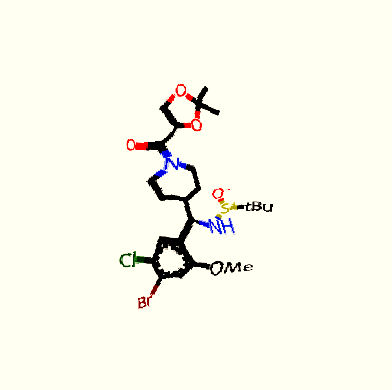 COc1cc(Br)c(Cl)cc1[C@H](N[S+]([O-])C(C)(C)C)C1CCN(C(=O)[C@H]2COC(C)(C)O2)CC1